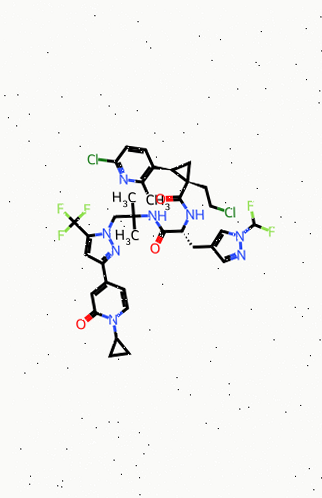 Cc1nc(Cl)ccc1[C@H]1C[C@]1(CCCl)C(=O)N[C@H](Cc1cnn(C(F)F)c1)C(=O)NC(C)(C)Cn1nc(-c2ccn(C3CC3)c(=O)c2)cc1C(F)(F)F